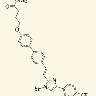 CCn1cc(-c2ccc(C(F)(F)F)cc2)nc1C=Cc1ccc(-c2ccc(OCCCC(=O)OC)cc2)cc1